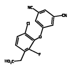 N#Cc1cc(C#N)cc(Oc2c(Cl)ccc(CC(=O)O)c2F)c1